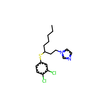 CCCCCC(CCn1ccnc1)Sc1ccc(Cl)c(Cl)c1